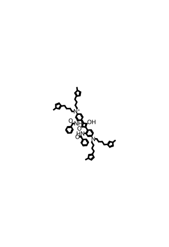 CC1C=CC(CCCCN(CCCCC2=CC(C)C=C2)c2ccc(C3=C(O)/C(=C4\C=CC(=[N+](CCCCC5=CC(C)C=C5)CCCCC5=CC(C)C=C5)C=C4NC(=O)c4ccccc4)C3=O)c(NC(=O)c3ccccc3)c2)=C1